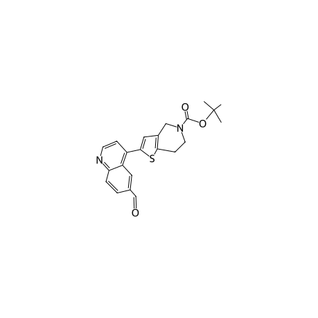 CC(C)(C)OC(=O)N1CCc2sc(-c3ccnc4ccc(C=O)cc34)cc2C1